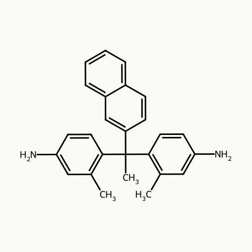 Cc1cc(N)ccc1C(C)(c1ccc2ccccc2c1)c1ccc(N)cc1C